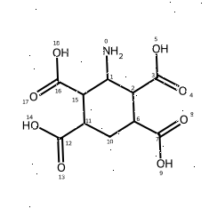 NC1C(C(=O)O)C(C(=O)O)CC(C(=O)O)C1C(=O)O